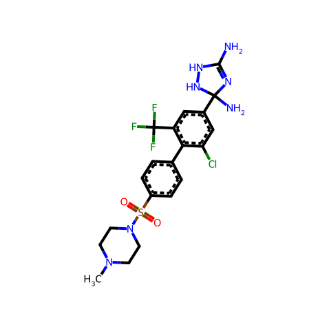 CN1CCN(S(=O)(=O)c2ccc(-c3c(Cl)cc(C4(N)N=C(N)NN4)cc3C(F)(F)F)cc2)CC1